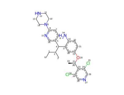 CCC(C)C(c1ccc(N2CCNCC2)nc1)c1cc(O[C@H](C)c2c(Cl)cncc2Cl)ccc1N